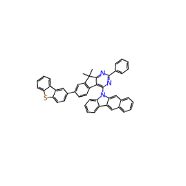 CC1(C)c2cc(-c3ccc4sc5ccccc5c4c3)ccc2-c2c(-n3c4ccccc4c4cc5ccccc5cc43)nc(-c3ccccc3)nc21